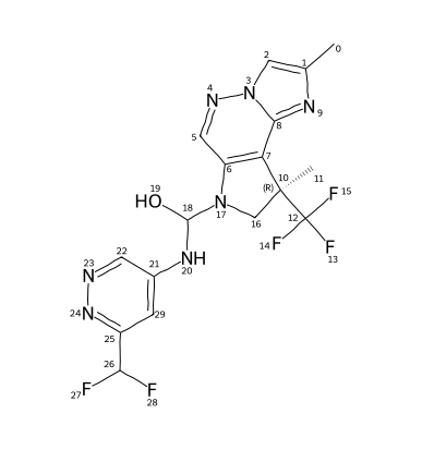 Cc1cn2ncc3c(c2n1)[C@@](C)(C(F)(F)F)CN3C(O)Nc1cnnc(C(F)F)c1